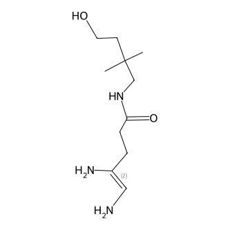 CC(C)(CCO)CNC(=O)CC/C(N)=C/N